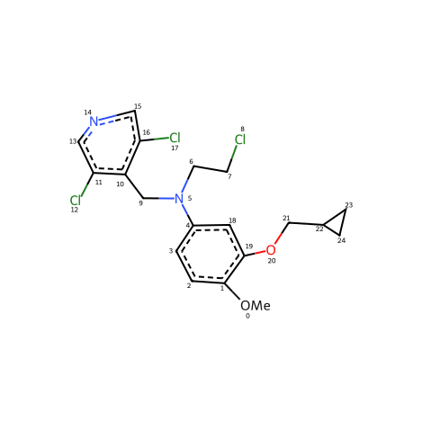 COc1ccc(N(CCCl)Cc2c(Cl)cncc2Cl)cc1OCC1CC1